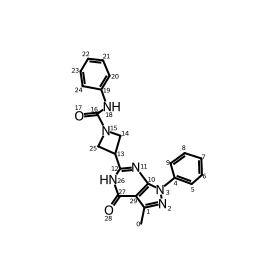 Cc1nn(-c2ccccc2)c2nc(C3CN(C(=O)Nc4ccccc4)C3)[nH]c(=O)c12